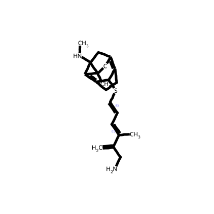 C=C(CN)/C(C)=C/C=C/SC1C2=C3CC4(C)C(=C1CC2)C4(NC)C3